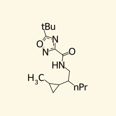 CCCC(CNC(=O)c1noc(C(C)(C)C)n1)C1CC1C